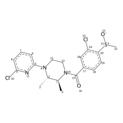 C[C@H]1[C@H](C)N(c2cccc(Cl)n2)CCN1C(=O)c1ccc([S+](C)[O-])c(Cl)c1